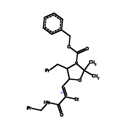 CC/C(=C\C1OC(C)(C)N(C(=O)OCc2ccccc2)C1CC(C)C)C(=O)NCC(C)C